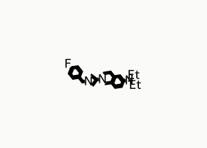 CCN(CC)c1ccc2c(c1)CCN(C1CN(Cc3ccc(F)cc3)C1)C2